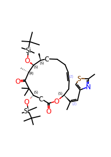 C/C(=C/c1csc(C)n1)[C@@H]1C/C=C\CCC[C@H](C)[C@H](O[Si](C)(C)C(C)(C)C)[C@@H](C)C(=O)C(C)(C)[C@@H](O[Si](C)(C)C(C)(C)C)CC(=O)O1